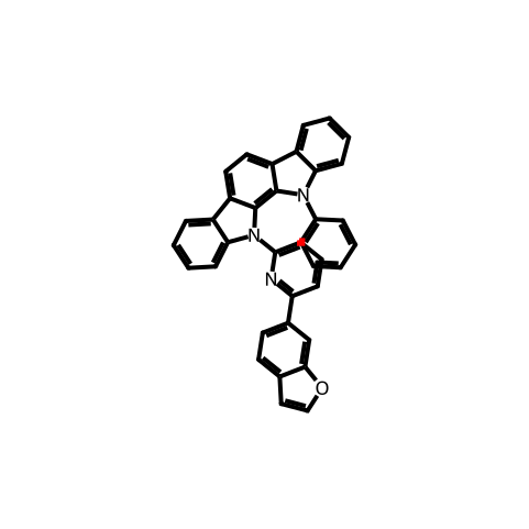 c1ccc(-n2c3ccccc3c3ccc4c5ccccc5n(-c5cccc(-c6ccc7ccoc7c6)n5)c4c32)cc1